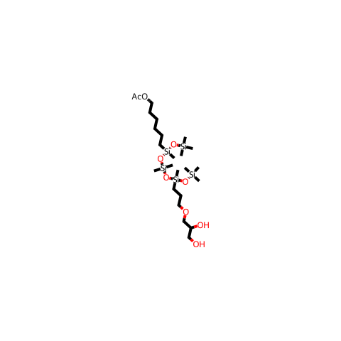 CC(=O)OCCCCCC[Si](C)(O[Si](C)(C)C)O[Si](C)(C)O[Si](C)(CCCOCC(O)CO)O[Si](C)(C)C